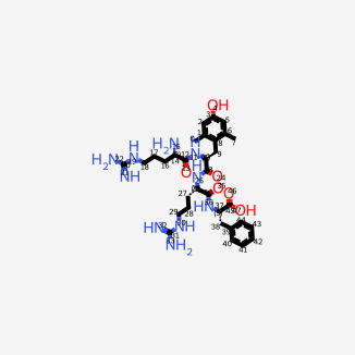 Cc1cc(O)cc(C)c1C[C@H](NC(=O)[C@H](N)CCCNC(=N)N)C(=O)N[C@@H](CCCNC(=N)N)C(=O)N[C@@H](Cc1ccccc1)C(=O)O